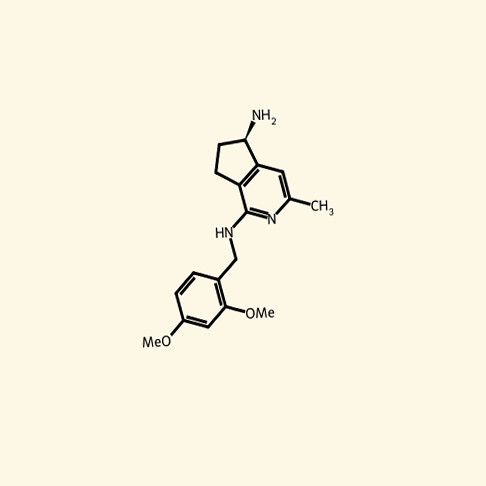 COc1ccc(CNc2nc(C)cc3c2CC[C@H]3N)c(OC)c1